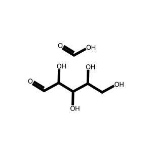 O=CC(O)C(O)C(O)CO.O=CO